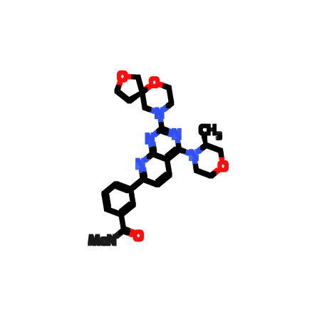 CNC(=O)c1cccc(-c2ccc3c(N4CCOC[C@@H]4C)nc(N4CCO[C@]5(CCOC5)C4)nc3n2)c1